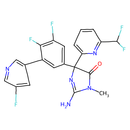 CN1C(=O)C(c2cc(F)c(F)c(-c3cncc(F)c3)c2)(c2cccc(C(F)F)n2)N=C1N